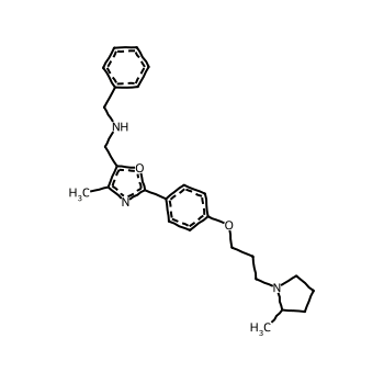 Cc1nc(-c2ccc(OCCCN3CCCC3C)cc2)oc1CNCc1ccccc1